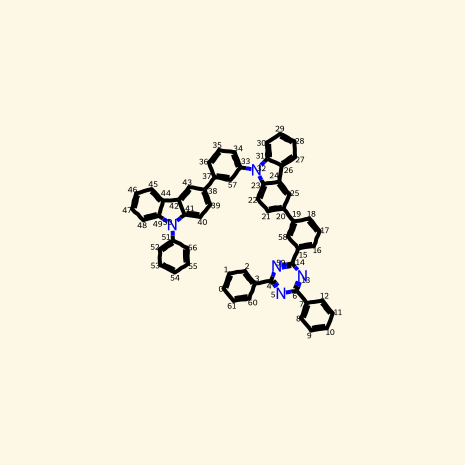 c1ccc(-c2nc(-c3ccccc3)nc(-c3cccc(-c4ccc5c(c4)c4ccccc4n5-c4cccc(-c5ccc6c(c5)c5ccccc5n6-c5ccccc5)c4)c3)n2)cc1